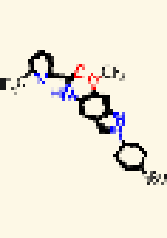 CC(C)(C)C1CCC(n2cc3cc(NC(=O)c4cccc(C(F)(F)F)n4)c(OC(F)(F)F)cc3n2)CC1